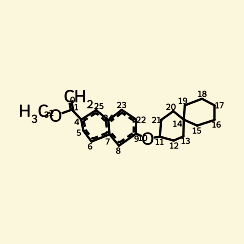 C=C(OC)c1ccc2cc(OC3CCC4(CCCCC4)CC3)ccc2c1